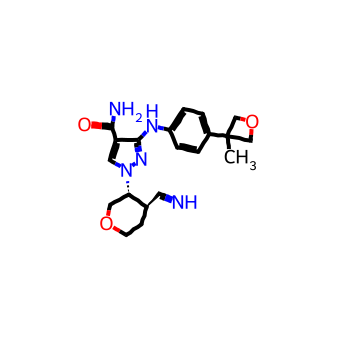 CC1(c2ccc(Nc3nn([C@H]4COCC[C@@H]4C=N)cc3C(N)=O)cc2)COC1